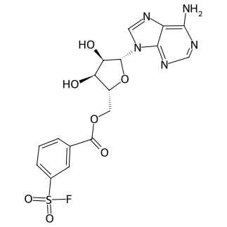 Nc1ncnc2c1ncn2[C@@H]1O[C@H](COC(=O)c2cccc(S(=O)(=O)F)c2)[C@@H](O)[C@H]1O